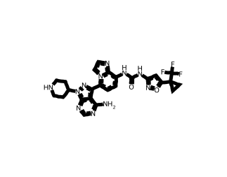 Nc1ncnc2c1c(-c1ccc(NC(=O)Nc3cc(C4(C(F)(F)F)CC4)on3)c3nccn13)nn2C1CCNCC1